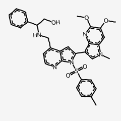 COc1cc2c(nc1OC)c(-c1cc3c(CNC(CO)c4ccccc4)ccnc3n1S(=O)(=O)c1ccc(C)cc1)cn2C